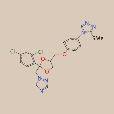 CSc1nncn1-c1ccc(OCC2COC(Cn3cncn3)(c3ccc(Cl)cc3Cl)O2)cc1